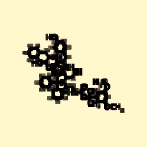 COc1cc(OC)cc(C(C)(C)OC(=O)NCC(=O)N(C(CS)C(=O)NC(Cc2ccc(O)cc2)C(=O)NC(Cc2ccccc2)C(=O)O)C(c2ccccc2)(c2ccccc2)c2ccccc2)c1